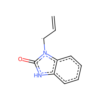 C=C[CH]n1c(=O)[nH]c2ccccc21